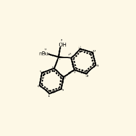 CCCCC1(O)c2ccccc2-c2ccccc21